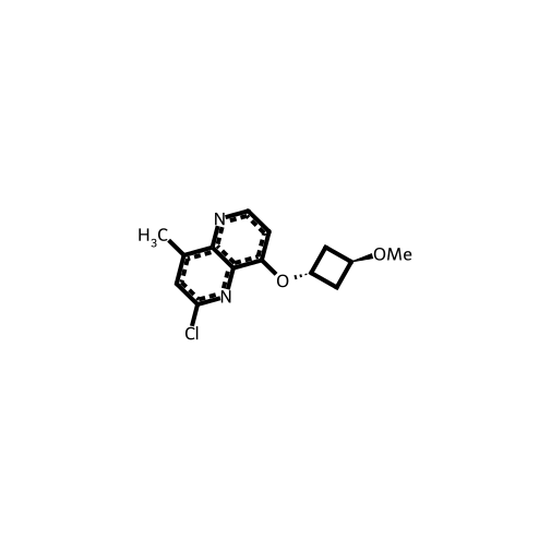 CO[C@H]1C[C@H](Oc2ccnc3c(C)cc(Cl)nc23)C1